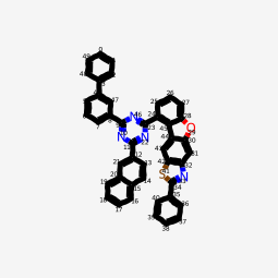 c1ccc(-c2cccc(-c3nc(-c4ccc5ccccc5c4)nc(-c4cccc5oc6cc7nc(-c8ccccc8)sc7cc6c45)n3)c2)cc1